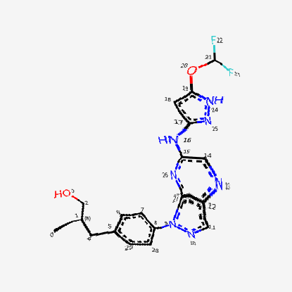 C[C@@H](CO)Cc1ccc(-n2ncc3ncc(Nc4cc(OC(F)F)[nH]n4)nc32)cc1